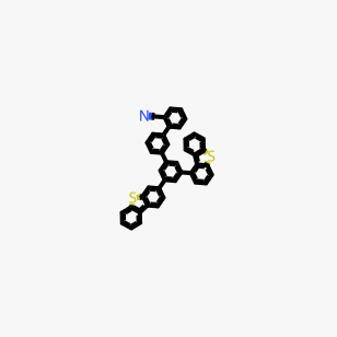 N#Cc1ccccc1-c1cccc(-c2cc(-c3ccc4c(c3)sc3ccccc34)cc(-c3cccc4sc5ccccc5c34)c2)c1